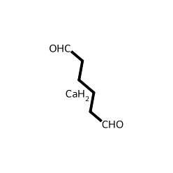 O=CCCCCC=O.[CaH2]